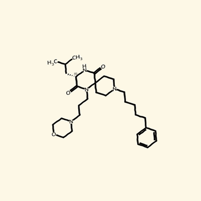 CC(C)C[C@@H]1NC(=O)C2(CCN(CCCCCc3ccccc3)CC2)N(CCCN2CCOCC2)C1=O